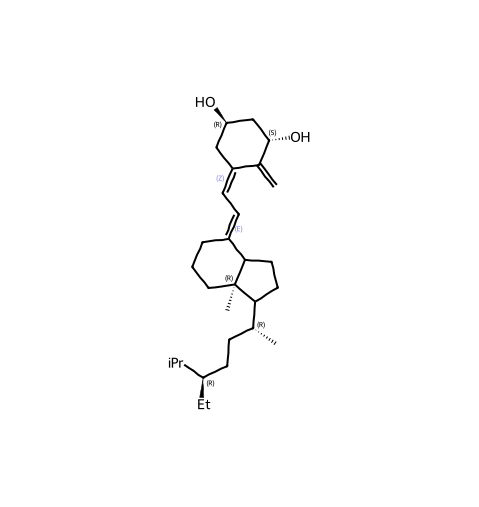 C=C1/C(=C\C=C2/CCC[C@@]3(C)C2CCC3[C@H](C)CC[C@@H](CC)C(C)C)C[C@@H](O)C[C@@H]1O